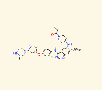 C=CC(=O)N1CCC(Nc2cc3c(Nc4ccc(Oc5ccnc(N6CCN[C@H](C)C6)c5)cc4F)ncnc3cc2OC)CC1